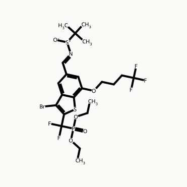 CCOP(=O)(OCC)C(F)(F)c1sc2c(OCCCC(F)(F)F)cc(/C=N/[S+]([O-])C(C)(C)C)cc2c1Br